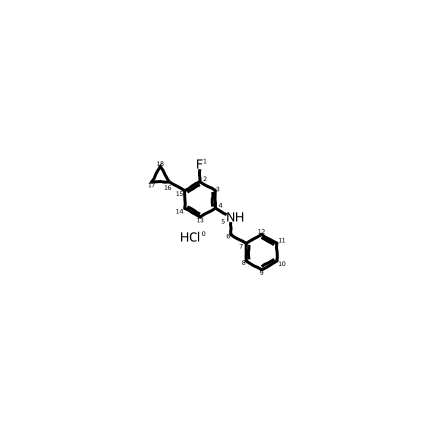 Cl.Fc1cc(NCc2ccccc2)ccc1C1CC1